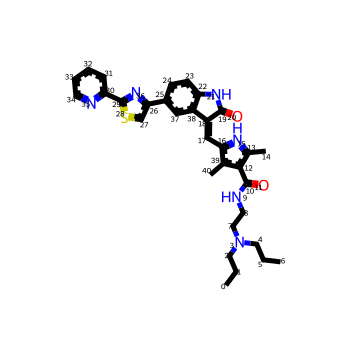 CCCN(CCC)CCNC(=O)c1c(C)[nH]c(/C=C2\C(=O)Nc3ccc(-c4csc(-c5ccccn5)n4)cc32)c1C